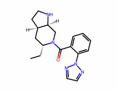 CC[C@@H]1C[C@H]2CCN[C@H]2CN1C(=O)c1ccccc1-n1nccn1